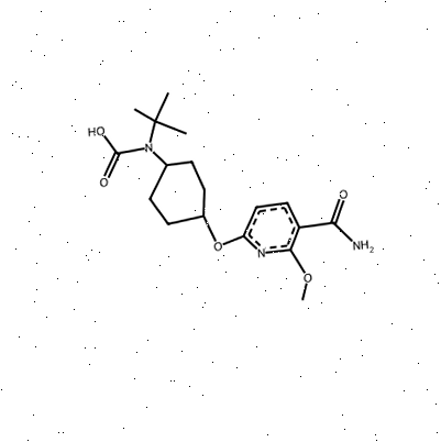 COc1nc(OC2CCC(N(C(=O)O)C(C)(C)C)CC2)ccc1C(N)=O